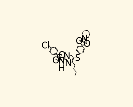 CCCCc1nc(NS(=O)(=O)c2ccc(Cl)cc2)ncc1Sc1ccc(S(=O)(=O)N2CCCCC2)cc1